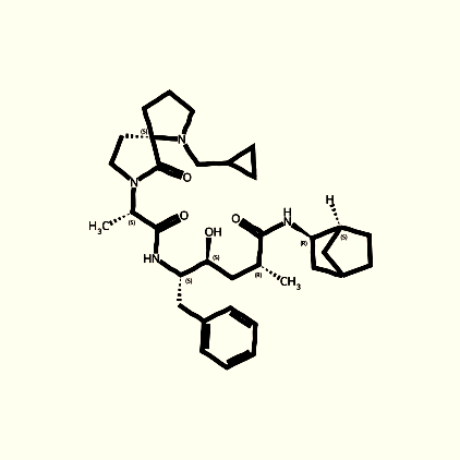 C[C@H](C[C@H](O)[C@H](Cc1ccccc1)NC(=O)[C@H](C)N1CC[C@@]2(CCCN2CC2CC2)C1=O)C(=O)N[C@@H]1CC2CC[C@H]1C2